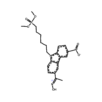 COP(=O)(CCCCCCn1c2ccc(/C(C)=N/O)cc2c2cc([N+](=O)[O-])ccc21)OC